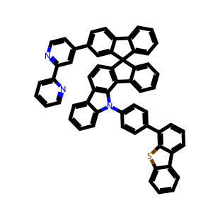 c1ccc(-c2cc(-c3ccc4c(c3)C3(c5ccccc5-4)c4ccccc4-c4c3ccc3c5ccccc5n(-c5ccc(-c6cccc7c6sc6ccccc67)cc5)c43)ccn2)nc1